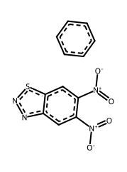 O=[N+]([O-])c1cc2nnsc2cc1[N+](=O)[O-].c1ccccc1